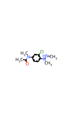 CNN(C)c1ccc(N(C)C(C)=O)cc1Cl